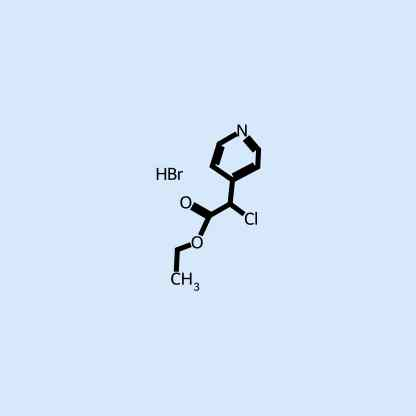 Br.CCOC(=O)C(Cl)c1ccncc1